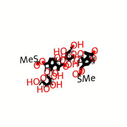 CSC(=O)OCC1=C[C@@H]2OC(=O)C3=CO[C@@H](O[C@@H]4O[C@H](CO)[C@@H](O)[C@H](OC(=O)C5=CO[C@@H](O[C@@H]6O[C@H](CO)[C@@H](O)[C@H](O)[C@H]6O)[C@@H]6C(COC(=O)SC)=C[C@H](O)[C@H]56)[C@H]4O)[C@H]1[C@@H]32